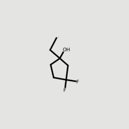 [CH2]CC1(O)CCC(F)(F)C1